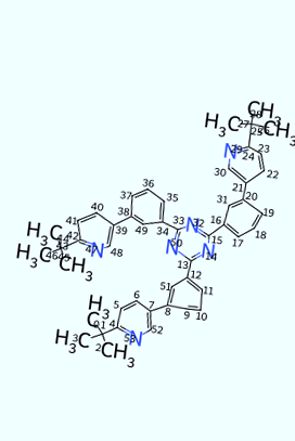 CC(C)(C)c1ccc(-c2cccc(-c3nc(-c4cccc(-c5ccc(C(C)(C)C)nc5)c4)nc(-c4cccc(-c5ccc(C(C)(C)C)nc5)c4)n3)c2)cn1